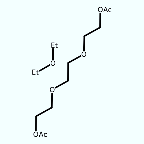 CC(=O)OCCOCCOCCOC(C)=O.CCOCC